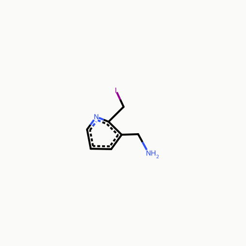 NCc1cccnc1CI